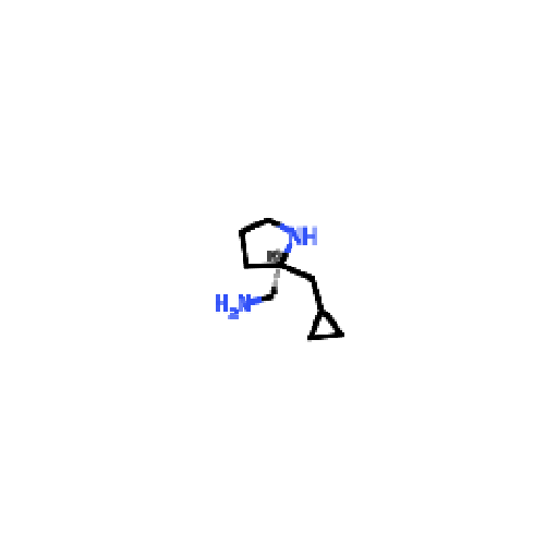 NC[C@]1(CC2CC2)CCCN1